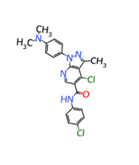 Cc1nn(-c2ccc(N(C)C)cc2)c2ncc(C(=O)Nc3ccc(Cl)cc3)c(Cl)c12